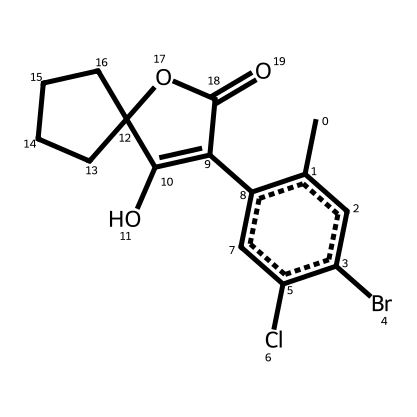 Cc1cc(Br)c(Cl)cc1C1=C(O)C2(CCCC2)OC1=O